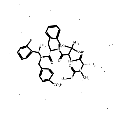 CSC(C)(C)C(NC(=O)[C@H](C)N(C)C(=O)OC(C)(C)C)C(=O)N1Cc2ccccc2C[C@H]1C(=O)N(Cc1ccc(C(=O)O)cc1)[C@H](C)c1ccccc1F